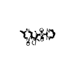 Cc1c[n+]([O-])c([C@@](C)(Cl)[C@@H](C)S(=O)(=O)c2ncccn2)cn1